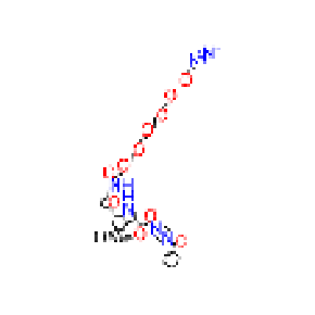 COc1ccc(-c2ccc(CNC(=O)COCCOCCOCCOCCOCCOCCN=[N+]=[N-])o2)c2[nH]cc(C(=O)C(=O)N3CCN(C(=O)c4ccccc4)CC3)c12